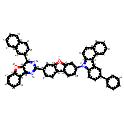 c1ccc(-c2ccc3c(c2)c2c4ccccc4ccc2n3-c2ccc3c(c2)oc2cc(-c4nc(-c5ccc6ccccc6c5)c5oc6ccccc6c5n4)ccc23)cc1